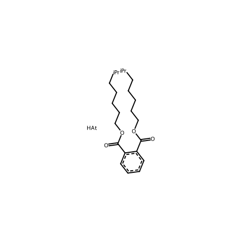 CC(C)CCCCCOC(=O)c1ccccc1C(=O)OCCCCCC(C)C.[AtH]